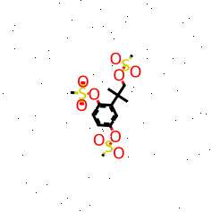 CC(C)(COS(C)(=O)=O)c1cc(OS(C)(=O)=O)ccc1OS(C)(=O)=O